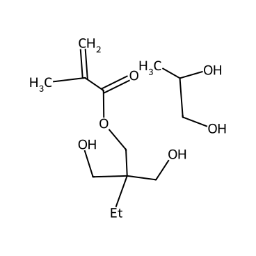 C=C(C)C(=O)OCC(CC)(CO)CO.CC(O)CO